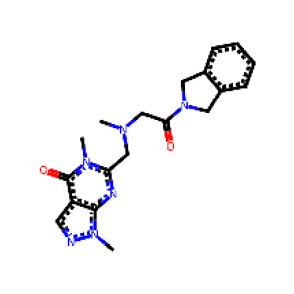 CN(CC(=O)N1Cc2ccccc2C1)Cc1nc2c(cnn2C)c(=O)n1C